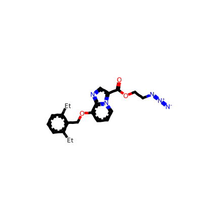 CCc1cccc(CC)c1COc1cccn2c(C(=O)OCCN=[N+]=[N-])cnc12